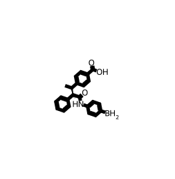 Bc1ccc(NC(=O)[C@@H](c2ccccc2)C(C)c2ccc(C(=O)O)cc2)cc1